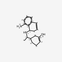 CC(NC1CC=Cc2cccc(N)c21)C1CCC=C(O)C1